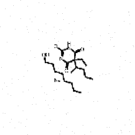 CCCC(C)C1(CC)C(=O)N=C([O-])NC1=O.CCCCCCCCO.[Na+]